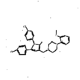 COc1ccccc1N1CCN(Cc2cc(-c3ccc(Cl)cc3)n(-c3ccc(Cl)cc3)c2C)CC1